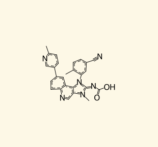 Cc1ccc(-c2ccc3ncc4c(c3c2)n(-c2cc(C#N)ccc2C)c(=NC(=O)O)n4C)cn1